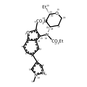 CCOC(=O)c1oc2ccc(-c3cnn(C)c3)cc2c1N(C(=O)OCC)[C@H]1CCO[C@@H](CC)C1